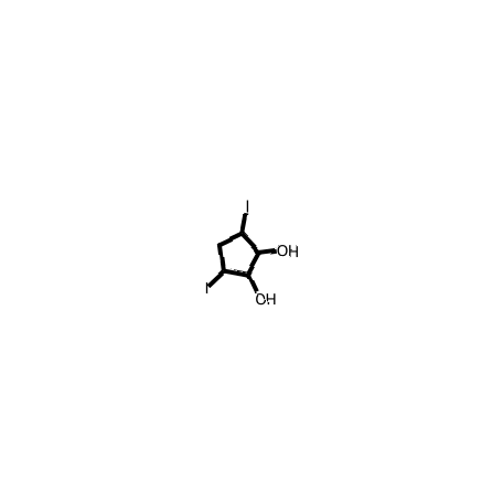 OC1C(I)CC(I)C1O